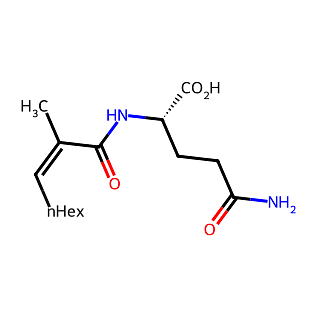 CCCCCCC=C(C)C(=O)N[C@@H](CCC(N)=O)C(=O)O